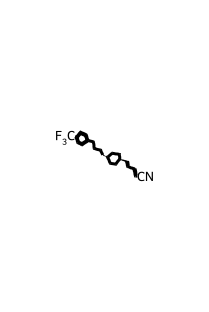 N#CC=CC=C[C@H]1CC[C@H](CCCCc2ccc(C(F)(F)F)cc2)CC1